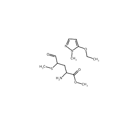 CCOc1ccnn1C.COC(=O)C(N)CC(C=O)SC